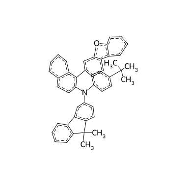 CC(C)(C)c1ccc(N(c2ccc3c(c2)-c2ccccc2C3(C)C)c2ccc3ccccc3c2-c2ccc3c(c2)oc2ccccc23)cc1